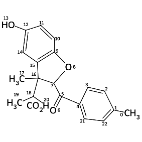 Cc1ccc(C(=O)C2Oc3ccc(O)cc3C2(C)C(C)C(=O)O)cc1